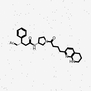 CC(=O)C[C@@H](CC(=O)N[C@@H]1CCN(C(=O)CCCc2ccc3c(n2)NCCC3)C1)c1ccccc1